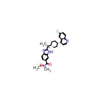 CON(C)C(=O)c1ccc2nc([C@H](C)[C@H]3CC[C@@H](c4ccnc5ccc(F)cc54)CC3)[nH]c2c1